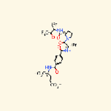 CC(C)C(NC(=O)[C@@H]1CCCN1C(=O)[C@@H](NC(=O)c1ccc(C(=O)N[C@@H](CCC(=O)O)C(=O)O)cc1)C(C)C)C(=O)C(F)(F)F